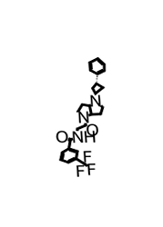 O=C(NCC(=O)N1CCC2C1CCN2[C@H]1C[C@@H](c2ccccc2)C1)c1cccc(C(F)(F)F)c1